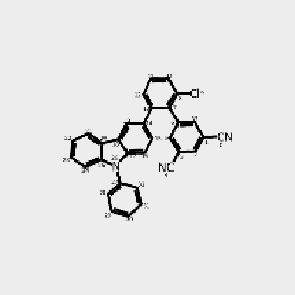 N#Cc1cc(C#N)cc(-c2c(Cl)cccc2-c2ccc3c(c2)c2ccccc2n3-c2ccccc2)c1